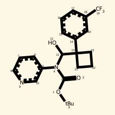 CC(C)(C)OC(=O)N(c1cccnc1)C(O)C1(c2cccc(C(F)(F)F)c2)CCC1